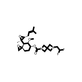 CO[C@@H]1[C@H](OC(=O)N2CC3(CN(CC(F)F)C3)C2)CC[C@]2(CO2)[C@H]1[C@@]1(C)O[C@@H]1CC=C(C)C